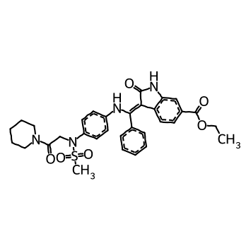 CCOC(=O)c1ccc2c(c1)NC(=O)/C2=C(\Nc1ccc(N(CC(=O)N2CCCCC2)S(C)(=O)=O)cc1)c1ccccc1